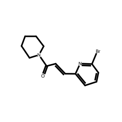 O=C(C=Cc1cccc(Br)n1)N1CCCCC1